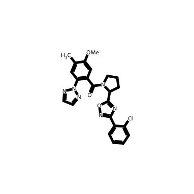 COc1cc(C(=O)N2CCCC2c2nc(-c3ccccc3Cl)no2)c(-n2nccn2)cc1C